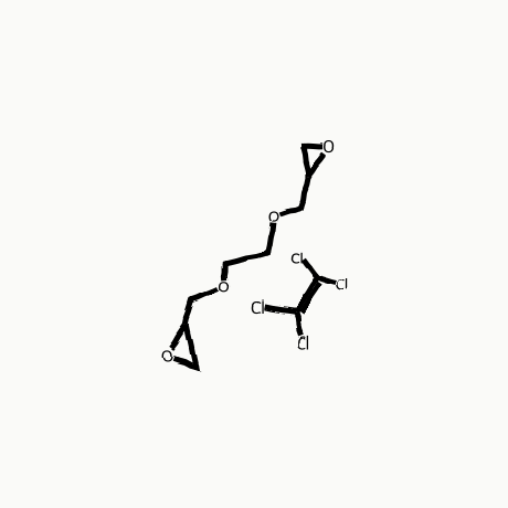 C(COCC1CO1)OCC1CO1.ClC(Cl)=C(Cl)Cl